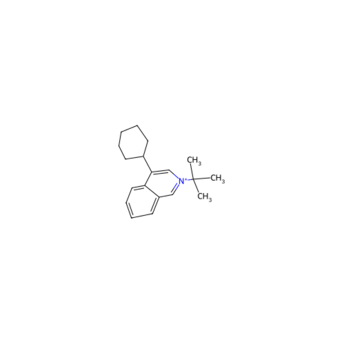 CC(C)(C)[n+]1cc(C2CCCCC2)c2ccccc2c1